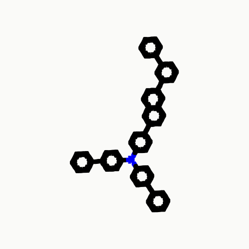 c1ccc(-c2ccc(N(c3ccc(-c4ccccc4)cc3)c3ccc(-c4ccc5cc(-c6cccc(-c7ccccc7)c6)ccc5c4)cc3)cc2)cc1